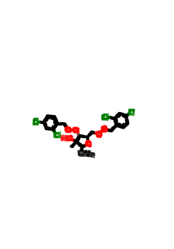 CO[C@@H]1O[C@H](COOCc2ccc(Cl)cc2Cl)[C@@H](OOCc2ccc(Cl)cc2Cl)[C@@]1(C)O